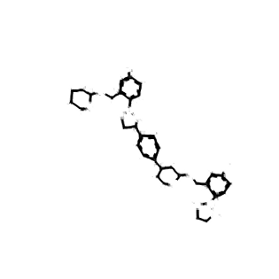 Fc1ccc(B2OCCO2)c(COC2CC(c3ccc(C4COB(c5ccc(F)cc5COC5CCCCO5)O4)cc3)CCO2)c1